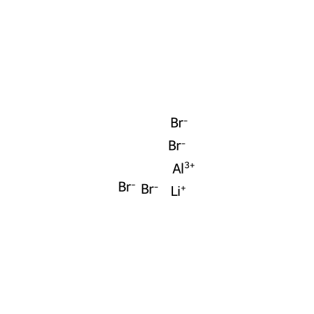 [Al+3].[Br-].[Br-].[Br-].[Br-].[Li+]